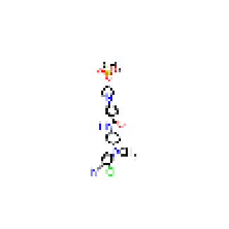 CN(c1ccc(C#N)c(Cl)c1)[C@H]1CC[C@H](NC(=O)c2ccc(N3CCC(COS(C)(=O)=O)CC3)cc2)CC1